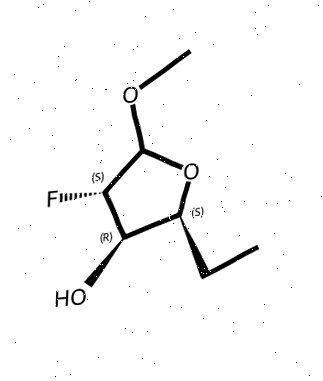 CC[C@@H]1OC(OC)[C@@H](F)[C@@H]1O